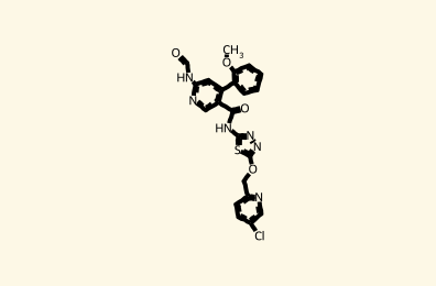 COc1ccccc1-c1cc(NC=O)ncc1C(=O)Nc1nnc(OCc2ccc(Cl)cn2)s1